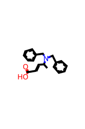 CC(C=CC(=O)O)N(Cc1ccccc1)Cc1ccccc1